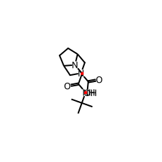 CC(C)(C)NC(=O)CN1C2CCC1CN(C(=O)O)C2